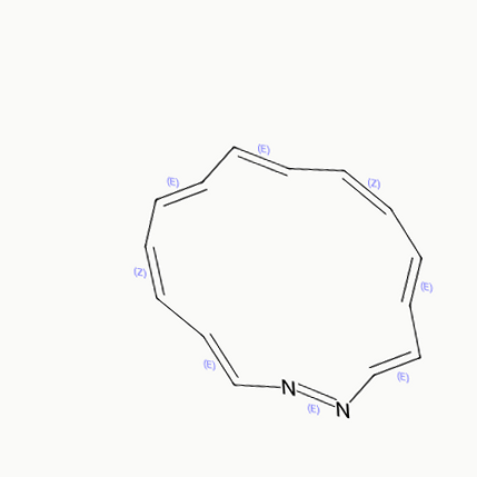 C1=C\C=C\C=C\N=N\C=C\C=C/C=C/C=C/1